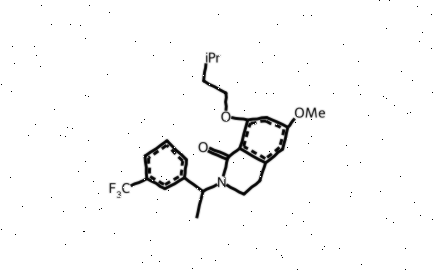 COc1cc2c(c(OCCC(C)C)c1)C(=O)N(C(C)c1cccc(C(F)(F)F)c1)CC2